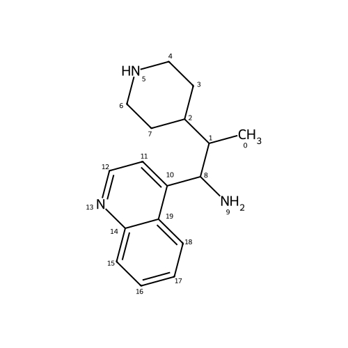 CC(C1CCNCC1)C(N)c1ccnc2ccccc12